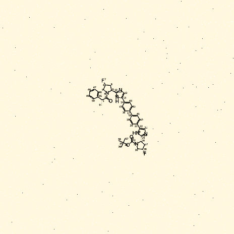 C[C@@H](C(=O)N1C[C@@H](F)C[C@H]1c1ncc(-c2ccc(-c3ccc(-c4cnc([C@@H]5C[C@H](F)CN5C(=O)OC(C)(C)C)[nH]4)cc3)cc2)[nH]1)c1ccccc1